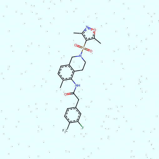 Cc1ccc2c(c1NC(=O)Cc1ccc(C(F)(F)F)c(F)c1)CCN(S(=O)(=O)c1c(C)noc1C)C2